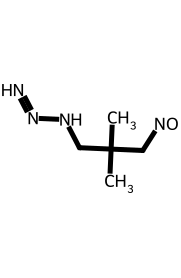 CC(C)(CN=O)CNN=N